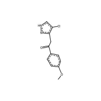 COc1ccc(C(=O)Cc2n[nH]cc2Cl)cc1